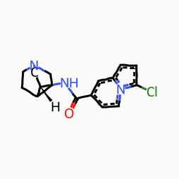 O=C(N[C@H]1CN2CCC1CC2)c1ccn2c(Cl)ccc2c1